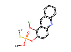 CCCSP(=O)(OCC)Oc1ccc2nc3ccccc3cc2c1OCl